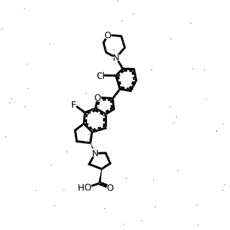 O=C(O)[C@@H]1CCN([C@@H]2CCc3c2cc2cc(-c4cccc(N5CCOCC5)c4Cl)oc2c3F)C1